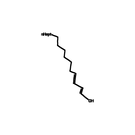 CCCCCCCCCCCCCC=CC=CO